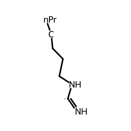 CCCCCCCN[C]=N